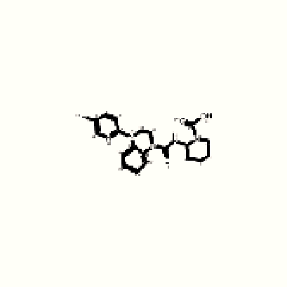 O=C(NC1CCCCN1C(=O)O)N1CCN(c2ccc(F)cn2)c2ccccc21